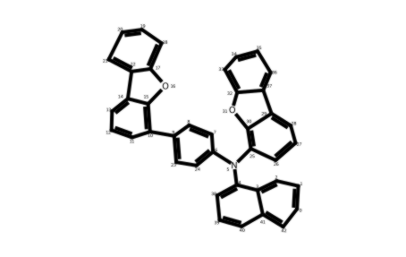 c1ccc2c(N(c3ccc(-c4cccc5c4oc4ccccc45)cc3)c3cccc4c3oc3ccccc34)cccc2c1